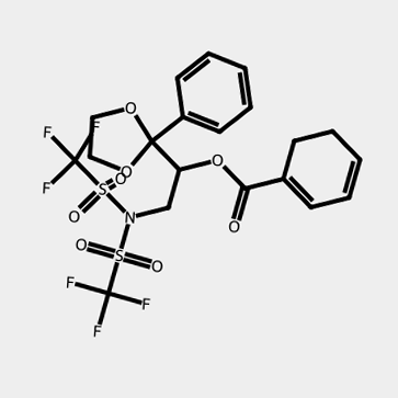 O=C(OC(CN(S(=O)(=O)C(F)(F)F)S(=O)(=O)C(F)(F)F)C1(c2ccccc2)OCCO1)C1=CC=CCC1